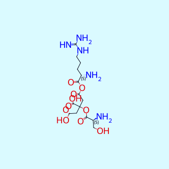 N=C(N)NCCC[C@H](N)C(=O)OC(=O)CC(CC(=O)O)(OC(=O)[C@@H](N)CO)C(=O)O